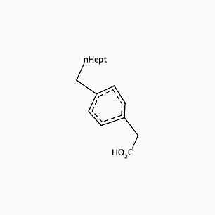 CCCCCCCCc1ccc(CC(=O)O)cc1